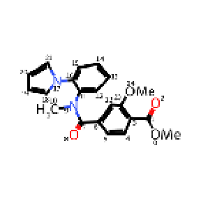 COC(=O)c1ccc(C(=O)N(C)c2ccccc2-n2cccc2)cc1OC